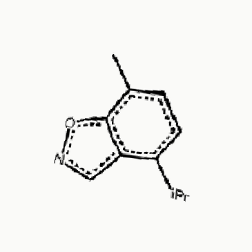 Cc1ccc(C(C)C)c2cnoc12